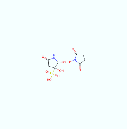 O=C1CC(O)(S(=O)(=O)O)C(=O)N1.O=C1CCC(=O)N1O